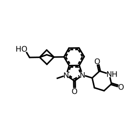 Cn1c(=O)n(C2CCC(=O)NC2=O)c2cccc(C34CC(CO)(C3)C4)c21